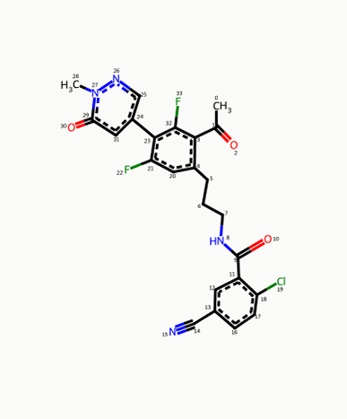 CC(=O)c1c(CCCNC(=O)c2cc(C#N)ccc2Cl)cc(F)c(-c2cnn(C)c(=O)c2)c1F